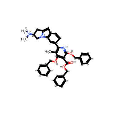 Cc1c(-c2ccc3cc4n(c3c2)CC(N(C)C)C4)nc(OCc2ccccc2)c(C(=O)OCc2ccccc2)c1OCc1ccccc1